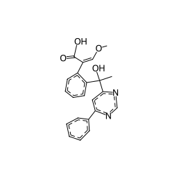 COC=C(C(=O)O)c1ccccc1C(C)(O)c1cc(-c2ccccc2)ncn1